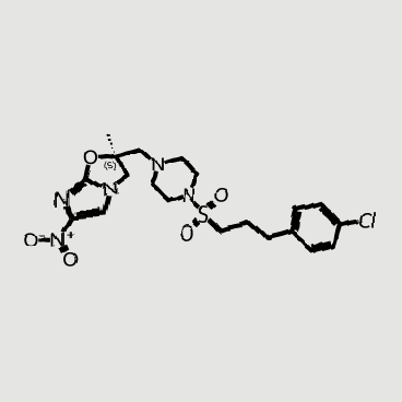 C[C@]1(CN2CCN(S(=O)(=O)CCCc3ccc(Cl)cc3)CC2)Cn2cc([N+](=O)[O-])nc2O1